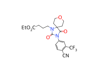 CCOC(=O)CCCN1C(=O)N(c2ccc(C#N)c(C(F)(F)F)c2)C(=O)C12CCOCC2